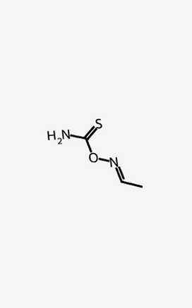 C/C=N/OC(N)=S